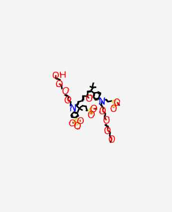 COCCOCCOCCOCCN(CCCS(=O)OC)c1ccc2c(c1)OC(/C=C/C=C1/N(CCOCCOCCOCCO)c3ccc(S(=O)(=O)OC)cc3C1(C)CCCS(=O)OC)C=C2C(C)(C)C